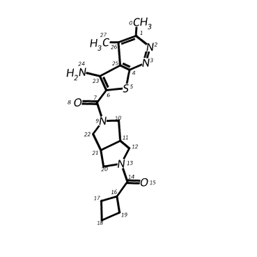 Cc1nnc2sc(C(=O)N3CC4CN(C(=O)C5CCC5)CC4C3)c(N)c2c1C